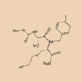 COC(=O)[C@H](CSCCO)N(Cc1ccc(F)cc1)C(=O)[C@H](C)NC(=O)OC(C)(C)C